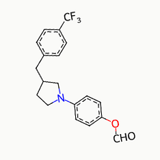 O=COc1ccc(N2CCC(Cc3ccc(C(F)(F)F)cc3)C2)cc1